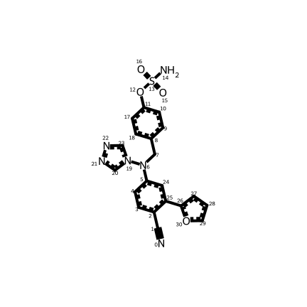 N#Cc1ccc(N(Cc2ccc(OS(N)(=O)=O)cc2)n2cnnc2)cc1-c1ccco1